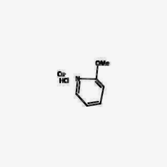 COc1ccccn1.Cl.[Cu]